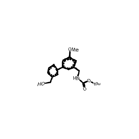 COc1cc(CNC(=O)OC(C)(C)C)cc(-c2cccc(CO)c2)c1